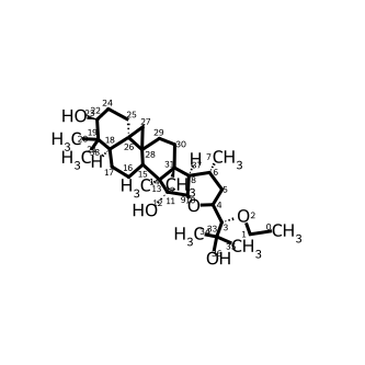 CCO[C@@H](C1C[C@@H](C)[C@H]2C(O1)[C@H](O)[C@@]1(C)C3CC[C@H]4C(C)(C)[C@@H](O)CC[C@@]45CC35CC[C@]21C)C(C)(C)O